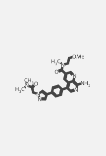 COCCN(C)C(=O)c1cnc2c(N)ncc(-c3ccc(-c4cnn(CC(=O)N(C)C)c4)cc3)c2c1